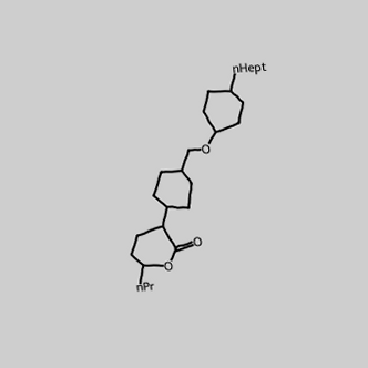 CCCCCCCC1CCC(OCC2CCC(C3CCC(CCC)OC3=O)CC2)CC1